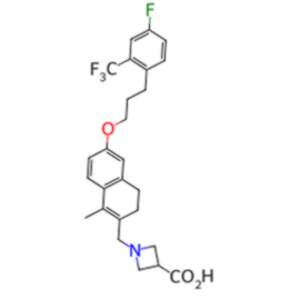 CC1=C(CN2CC(C(=O)O)C2)CCc2cc(OCCCc3ccc(F)cc3C(F)(F)F)ccc21